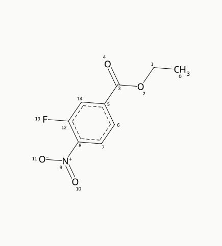 CCOC(=O)c1ccc([N+](=O)[O-])c(F)c1